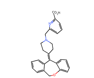 O=C(O)c1cccc(CN2CCC(=C3c4ccccc4COc4ccccc43)CC2)n1